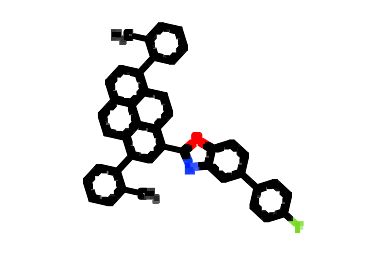 Cc1ccccc1-c1ccc2ccc3c(-c4ccccc4C)cc(-c4nc5cc(-c6ccc(F)cc6)ccc5o4)c4ccc1c2c43